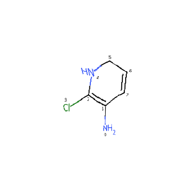 NC1=C(Cl)NCC=C1